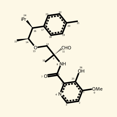 COc1ccnc(C(=O)N[C@](C)(C=O)CO[C@@H](C)[C@H](c2ccc(C)cc2)C(C)C)c1O